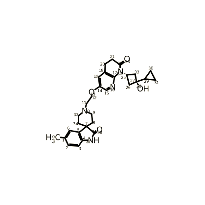 Cc1ccc2c(c1)C1(CCN(CCOc3cnc4c(c3)CCC(=O)N4[C@H]3C[C@@](O)(C4CC4)C3)CC1)C(=O)N2